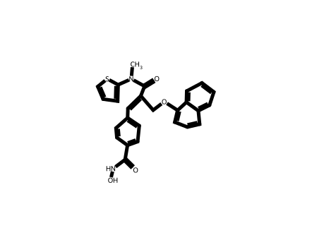 CN(C(=O)/C(=C/c1ccc(C(=O)NO)cc1)COc1cccc2ccccc12)c1cccs1